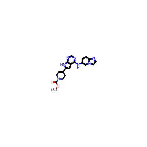 CC(C)(C)OC(=O)N1CC=C(c2cc3c(Nc4ccc5nccn5c4)ncnc3[nH]2)CC1